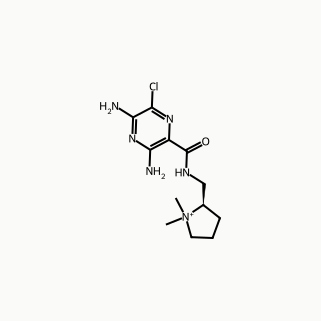 C[N+]1(C)CCC[C@@H]1CNC(=O)c1nc(Cl)c(N)nc1N